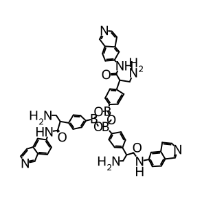 NCC(C(=O)Nc1ccc2cnccc2c1)c1ccc(B2OB(c3ccc(C(CN)C(=O)Nc4ccc5cnccc5c4)cc3)OB(c3ccc(C(CN)C(=O)Nc4ccc5cnccc5c4)cc3)O2)cc1